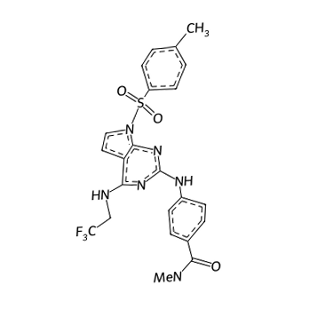 CNC(=O)c1ccc(Nc2nc(NCC(F)(F)F)c3ccn(S(=O)(=O)c4ccc(C)cc4)c3n2)cc1